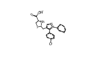 O=C(O)C1CSC(Cc2cnn(-c3ccccc3)c2-c2ccc(Cl)cc2)N1